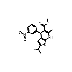 COC(=O)C1=C(C)Nc2sc(C(C)C)cc2C1c1cccc([N+](=O)[O-])c1